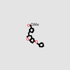 COC(=O)c1cccc(CC2COc3ccc(OCc4ccccc4)cc3C2)c1